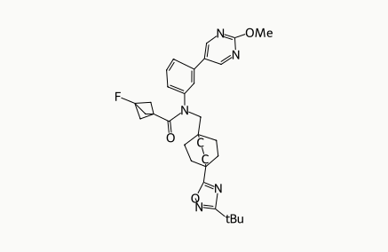 COc1ncc(-c2cccc(N(CC34CCC(c5nc(C(C)(C)C)no5)(CC3)CC4)C(=O)C34CC(F)(C3)C4)c2)cn1